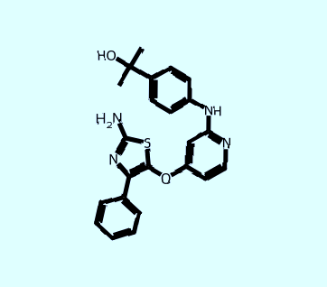 CC(C)(O)c1ccc(Nc2cc(Oc3sc(N)nc3-c3ccccc3)ccn2)cc1